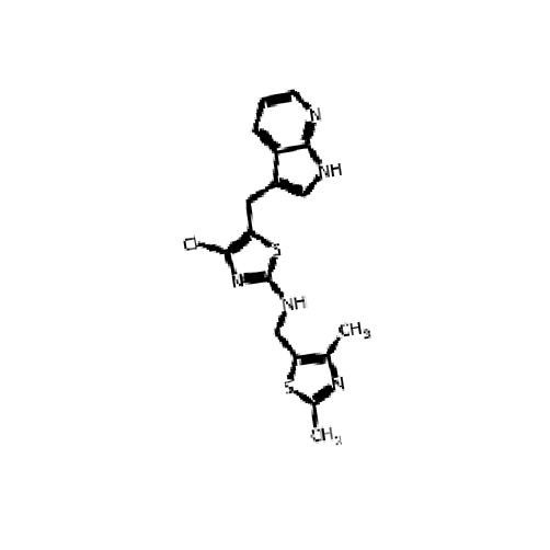 Cc1nc(C)c(CNc2nc(Cl)c(Cc3c[nH]c4ncccc34)s2)s1